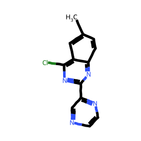 Cc1ccc2nc(-c3cnccn3)nc(Cl)c2c1